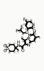 Cc1cc2nc(C(=O)NC3(C)CCS(=O)(=O)CC3)c(C)n2nc1Oc1ncc(F)cc1OCC(F)F